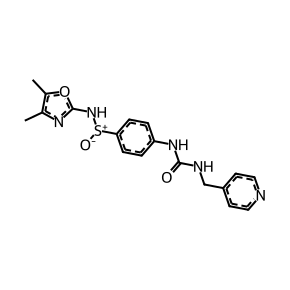 Cc1nc(N[S+]([O-])c2ccc(NC(=O)NCc3ccncc3)cc2)oc1C